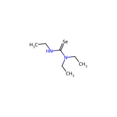 CCNC(=[Se])N(CC)CC